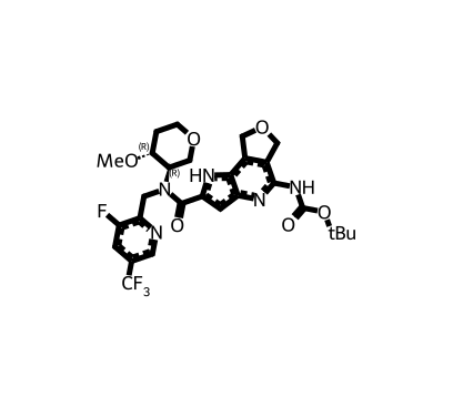 CO[C@@H]1CCOC[C@H]1N(Cc1ncc(C(F)(F)F)cc1F)C(=O)c1cc2nc(NC(=O)OC(C)(C)C)c3c(c2[nH]1)COC3